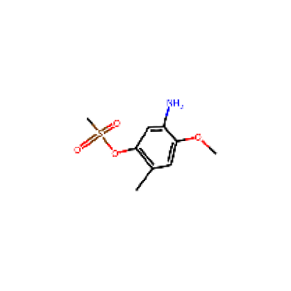 COc1cc(C)c(OS(C)(=O)=O)cc1N